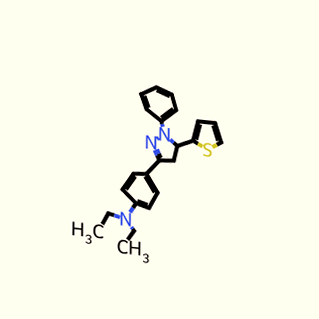 CCN(CC)c1ccc(C2=NN(c3ccccc3)C(c3cccs3)C2)cc1